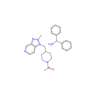 CC(=O)N1CCC(Cn2c(C)nc3cnccc32)CC1.NC(c1ccccc1)c1ccccc1